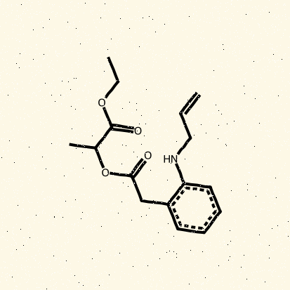 C=CCNc1ccccc1CC(=O)OC(C)C(=O)OCC